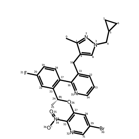 Cc1nn(CC2CC2)cc1Cc1cccnc1-c1ccc(F)cc1[C@@H](C)Oc1cc(Br)cnc1[N+](=O)[O-]